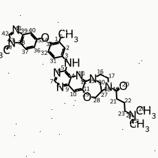 Cc1cc(Nc2ncnc3cc4c(nc23)N2CCN(C(=O)CCCN(C)C)C(CO4)C2)ccc1Oc1ccc2c(c1)ncn2C